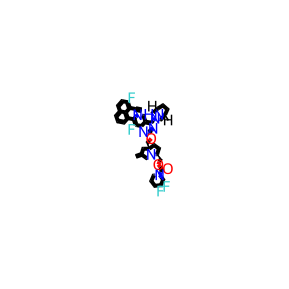 C#Cc1c(F)ccc2cccc(-c3ncc4c(N5C[C@H]6CC[C@@H](C5)N6)nc(OC[C@@]56CC[C@@H](COC(=O)N7CCCC(F)(F)C7)N5CC(=C)C6)nc4c3F)c12